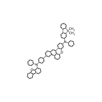 CC1(C)c2ccccc2-c2ccc(N(c3ccccc3)c3ccc4c(c3)Oc3cccc5c3c-4cc3ccc(-c4ccc(N(c6ccccc6)c6cccc7c6oc6ccccc67)cc4)cc35)cc21